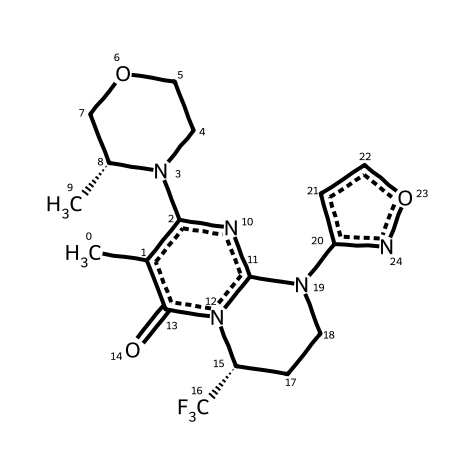 Cc1c(N2CCOC[C@H]2C)nc2n(c1=O)[C@@H](C(F)(F)F)CCN2c1ccon1